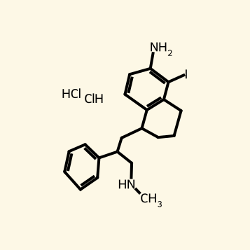 CNCC(CC1CCCc2c1ccc(N)c2I)c1ccccc1.Cl.Cl